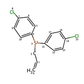 C=CC[S+](c1ccc(Cl)cc1)c1ccc(Cl)cc1